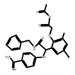 CC(=O)OC(=O)COc1c(C)cc(C)cc1C(Nc1ccc(C(=N)N)cc1)C(=O)NCc1ccccc1